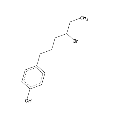 CCC(Br)CCCc1ccc(O)cc1